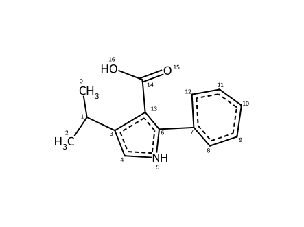 CC(C)c1c[nH]c(-c2ccccc2)c1C(=O)O